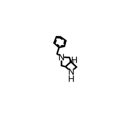 c1ccc(CN2CC3NC[C@H]3C2)cc1